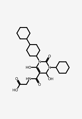 O=C(O)CNC(=O)C1=C(O)N(C2CCC(C3CCCCC3)CC2)C(=O)N(C2CCCCC2)C1O